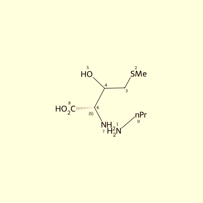 CCCN.CSCC(O)[C@H](N)C(=O)O